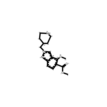 COC(=O)c1ccc2nn(CC3CCNCC3)cc2c1OC